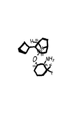 CC(C)N1C2CC[C@H]1C(C1CCC1)[C@@H](O[C@H]1CCCC(F)(F)[C@@H]1N)C2